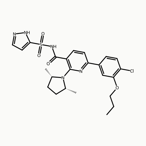 CCCOc1cc(-c2ccc(C(=O)NS(=O)(=O)c3ccn[nH]3)c(N3[C@H](C)CC[C@@H]3C)n2)ccc1Cl